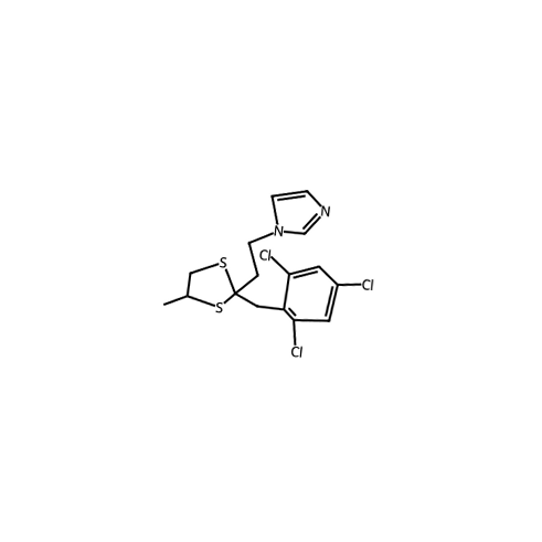 CC1CSC(CCn2ccnc2)(Cc2c(Cl)cc(Cl)cc2Cl)S1